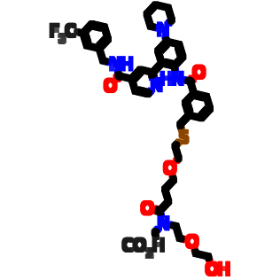 O=C(O)CN(CCOCCO)C(=O)CCCOCCSCc1cccc(C(=O)Nc2ccc(N3CCCCC3)cc2-c2cc(C(=O)NCc3cccc(C(F)(F)F)c3)ccn2)c1